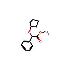 COC(=O)C(OC1CCCC1)c1ccccc1